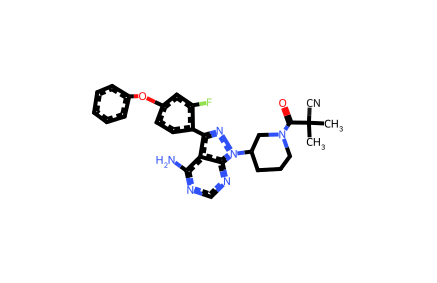 CC(C)(C#N)C(=O)N1CCCC(n2nc(-c3ccc(Oc4ccccc4)cc3F)c3c(N)ncnc32)C1